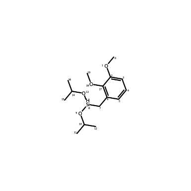 COc1cccc(C[SiH](OC(C)C)OC(C)C)c1OC